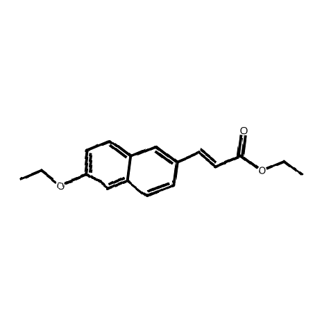 CCOC(=O)/C=C/c1ccc2cc(OCC)ccc2c1